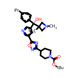 CC(C)c1ccc([C@](O)(c2cncc(-c3nc(C4CCN(C(=O)OC(C)(C)C)CC4)no3)c2)C2(C)CN(C)C2)cc1